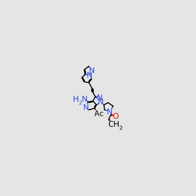 C=CC(=O)N1CCC(n2nc(C#Cc3ccc4ccnn4c3)c3c(N)ncc(C(C)=O)c32)C1